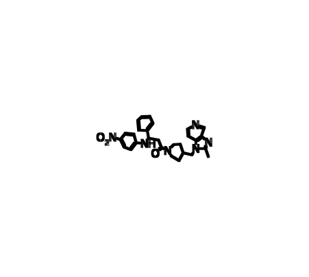 Cc1nc2cnccc2n1CC1CCN(C(=O)CC(Nc2ccc([N+](=O)[O-])cc2)c2ccccc2)CC1